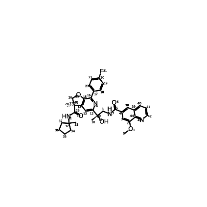 COc1cc(C(=O)NC[C@](C)(O)c2cc3c(c(-c4ccc(F)cc4)n2)OC[C@]3(C)C(=O)NC2(C)CCCC2)cc2cccnc12